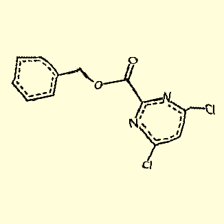 O=C(OCc1ccccc1)c1nc(Cl)cc(Cl)n1